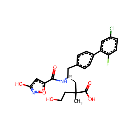 CC(CCO)(C[C@@H](Cc1ccc(-c2cc(Cl)ccc2F)cc1)NC(=O)c1cc(O)no1)C(=O)O